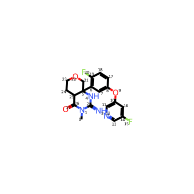 CN1C(=N)NC2(c3cc(Oc4cncc(F)c4)ccc3F)COCCC2C1=O